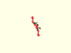 [C-]#[N+]/C(=C\c1ccc(OCCCCOC(=O)C=C)cc1)C(=O)Sc1ccc(OC(=O)/C(C#N)=C/c2ccc(OCCCCOC(=O)C=C)cc2)c2ccccc12